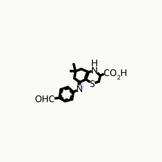 CC1(C)CC2=C(SCC(C(=O)O)N2)/C(=N/c2ccc(C=O)cc2)C1